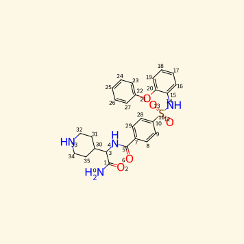 NC(=O)C(NC(=O)c1ccc(S(=O)(=O)Nc2ccccc2Oc2ccccc2)cc1)C1CCNCC1